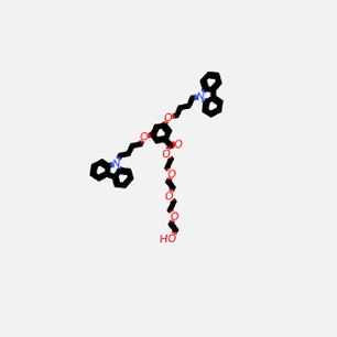 O=C(OCCOCCOCCOCCO)c1cc(OCCCCn2c3ccccc3c3ccccc32)cc(OCCCCn2c3ccccc3c3ccccc32)c1